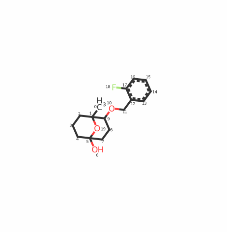 CC12CCCC(O)(CCC1OCc1ccccc1F)O2